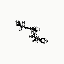 Cc1nn(C2CCN(C)CC2)nc1Nc1ncc(C(F)(F)F)c(NCCCNC(=O)C2CN(C)C2)n1